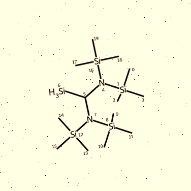 C[Si](C)(C)N(C([SiH3])N([Si](C)(C)C)[Si](C)(C)C)[Si](C)(C)C